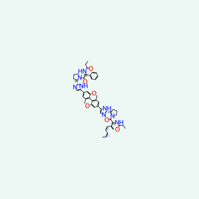 C=C(/C=C\C=C/C)[C@@H](NC(=O)CC)C(=O)N1CCC[C@H]1c1ncc(-c2cc3c4c(c2)OCc2cc(-c5cnc([C@@H]6CCCN6C(=O)[C@H](NC(=O)CC)c6ccccc6)[nH]5)cc(c2-4)OC3)[nH]1